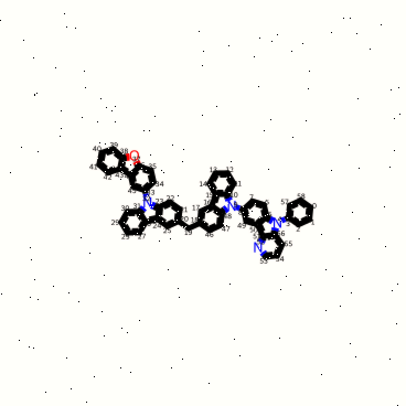 c1ccc(-n2c3ccc(-n4c5ccccc5c5cc(Cc6ccc7c(c6)c6ccccc6n7-c6ccc7oc8ccccc8c7c6)ccc54)cc3c3ncccc32)cc1